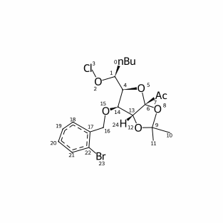 CCCC[C@H](OCl)[C@H]1O[C@]2(C(C)=O)OC(C)(C)O[C@@H]2[C@H]1OCc1ccccc1Br